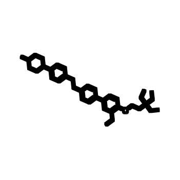 CCc1cc(-c2ccc(CCc3ccc(C4CCC(C)CC4)cc3)cc2)ccc1OCCC(CC)(CC)CC